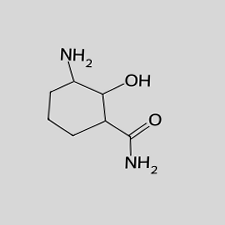 NC(=O)C1CCCC(N)C1O